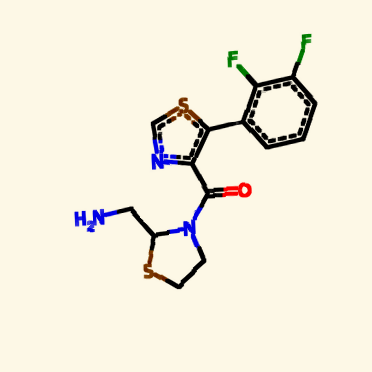 NCC1SCCN1C(=O)c1ncsc1-c1cccc(F)c1F